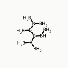 BBB(B(B)B)B(B)B(B)B